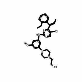 C/C=C(\c1ccccc1CC)c1nc(Nc2cc(OC)cc(N3CCN(CCO)CC3)c2)ncc1Cl